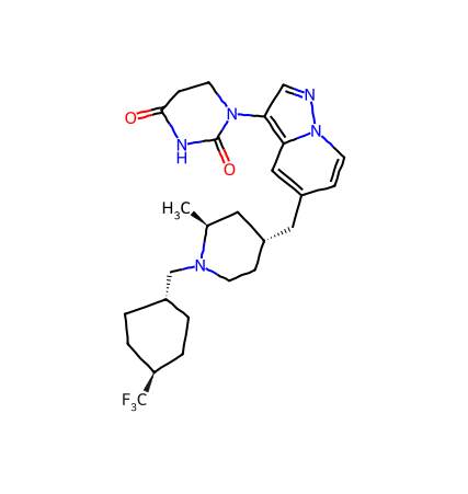 C[C@H]1C[C@H](Cc2ccn3ncc(N4CCC(=O)NC4=O)c3c2)CCN1C[C@H]1CC[C@H](C(F)(F)F)CC1